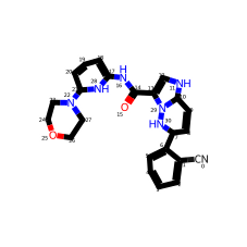 N#Cc1ccccc1C1C=CC2NC=C(C(=O)NC3=CC=CC(N4CCOCC4)N3)N2N1